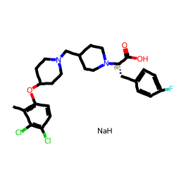 Cc1c(OC2CCN(CC3CCN([C@@H](Cc4ccc(F)cc4)C(=O)O)CC3)CC2)ccc(Cl)c1Cl.[NaH]